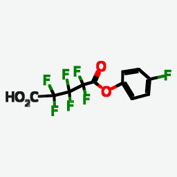 O=C(O)C(F)(F)C(F)(F)C(F)(F)C(=O)Oc1ccc(F)cc1